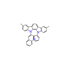 Cc1ccc2c(c1)c1ccc3c4cc(C)ccc4n(-c4cnc5ccccc5c4)c3c1n2-c1ccccc1